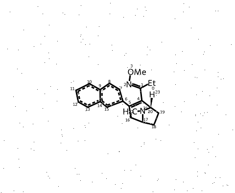 CCC(=NOC)C1=C(c2ccc3ccccc3c2)CC2CC[C@@H]1N2C